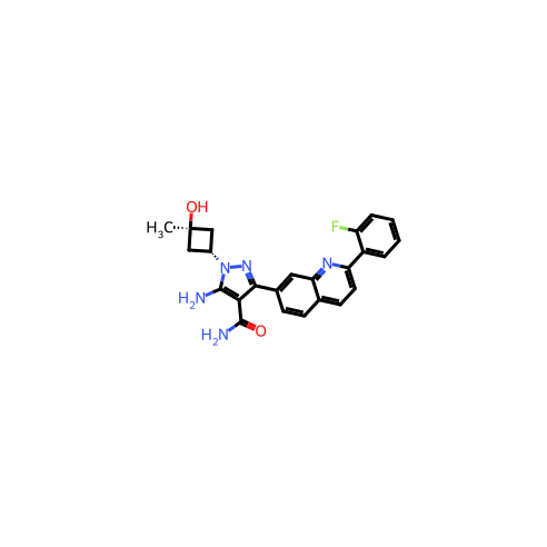 C[C@]1(O)C[C@H](n2nc(-c3ccc4ccc(-c5ccccc5F)nc4c3)c(C(N)=O)c2N)C1